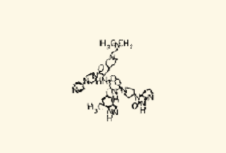 Cc1cc(C[C@@H](NC(=O)N2CCC(n3c(=O)[nH]c4ncccc43)CC2)C(=O)N[C@H](CC2CCN(CCN(C)C)CC2)C(=O)N2CCN(c3ccncc3)CC2)cc2cn[nH]c12